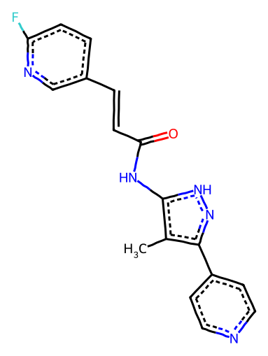 Cc1c(-c2ccncc2)n[nH]c1NC(=O)C=Cc1ccc(F)nc1